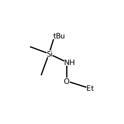 CCON[Si](C)(C)C(C)(C)C